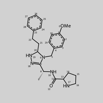 COc1ccc(CN2C([C@@H](C)NC(=O)C3CCCN3)=NNC2CCc2ccccc2)cc1